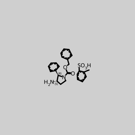 Cc1ccccc1S(=O)(=O)O.N[C@H]1CCN(C(=O)OCc2ccccc2)[C@@H]1c1ccccc1